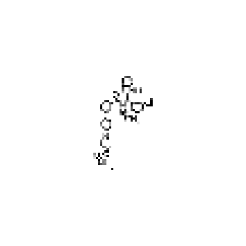 COc1ccc(Cl)cc1[C@@H](NC(=O)c1cccc(-c2ccc(N3CCC(OC(N)=O)CC3)cc2)c1)c1cc2ccccc2[nH]1